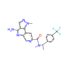 CC(c1ccc(C(F)(F)F)cc1)N(C)C(=O)c1cc2c(cn1)nc(N)c1cnn(C)c12